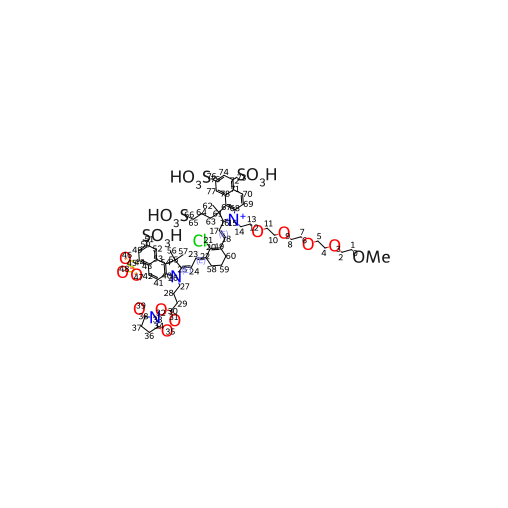 COCCOCCOCCOCCOCC[N+]1=C(/C=C/C2=C(Cl)C(=C/C=C3/N(CCCC(=O)ON4C(=O)CCC4=O)c4ccc5c(S(=O)(=O)[O-])cc(S(=O)(=O)O)cc5c4C3(C)C)/CCC2)C(C)(CCCS(=O)(=O)O)c2c1ccc1c(S(=O)(=O)O)cc(S(=O)(=O)O)cc21